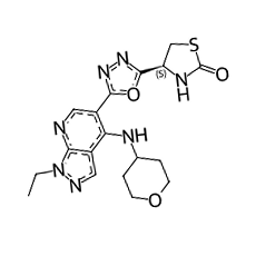 CCn1ncc2c(NC3CCOCC3)c(-c3nnc([C@H]4CSC(=O)N4)o3)cnc21